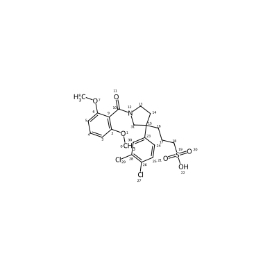 COc1cccc(OC)c1C(=O)N1CCC(CCCS(=O)(=O)O)(c2ccc(Cl)c(Cl)c2)C1